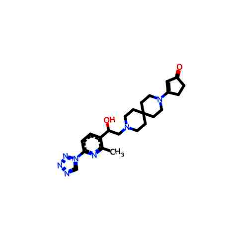 Cc1nc(-n2cnnn2)ccc1C(O)CN1CCC2(CC1)CCN(C1=CC(=O)CC1)CC2